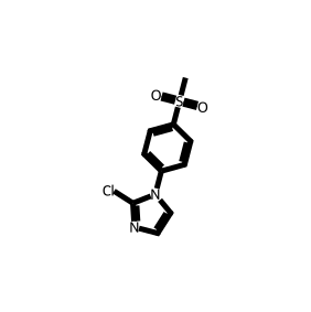 CS(=O)(=O)c1ccc(-n2ccnc2Cl)cc1